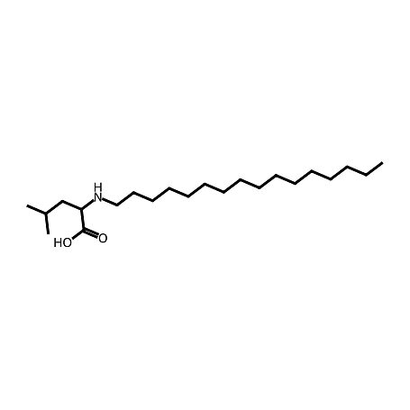 CCCCCCCCCCCCCCCCNC(CC(C)C)C(=O)O